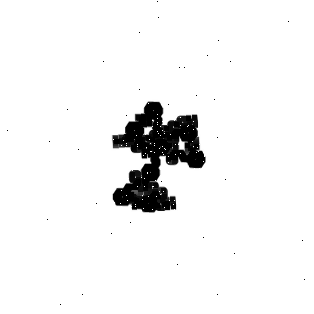 O=C(CCc1ccccc1/N=N/c1ccc(O)c(C(=O)O)c1)Oc1ccc(/C=C/c2cc(OC(=O)CCc3ccccc3/N=N/c3ccc(O)c(C(=O)O)c3)cc(OC(=O)CCc3ccccc3/N=N/c3ccc(O)c(C(=O)O)c3)c2)cc1